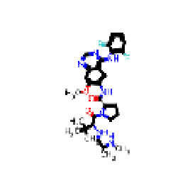 CN[C@@H](C)CN[C@H](C(=O)N1CCC[C@H]1C(=O)Nc1cc2c(Nc3c(F)cccc3F)ncnc2cc1OC)C(C)(C)C